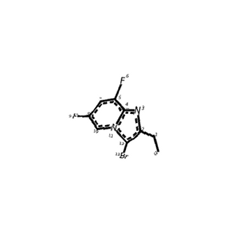 CCc1nc2c(F)cc(F)cn2c1Br